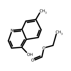 CCOC=O.Cc1ccc2c(O)ccnc2c1